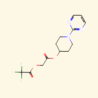 O=C(COC(=O)C(F)(F)F)OC1CCN(c2ncccn2)CC1